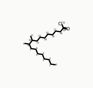 CCCCCCCCC(C)C(C)CCCCCCCC(=O)Cl